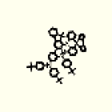 CC(C)(C)c1ccc(N2B3c4cccc5c4N(c4ccccc4C54c5ccccc5-c5ccccc54)c4c3c(cc3c4C(C)(C)c4ccccc4-3)-c3ccc(N(c4ccc(C(C)(C)C)cc4)c4ccc(C(C)(C)C)cc4)cc32)cc1